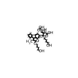 C=C(C(=O)OCCCCO)C(c1ccccc1)c1ccccc1.O=C(O)NC=C(NC(=O)O)C(=O)OCCCCO